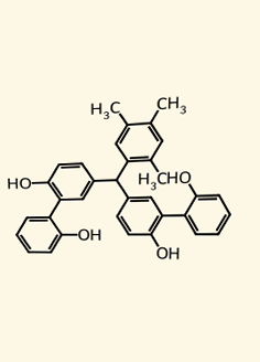 Cc1cc(C)c(C(c2ccc(O)c(-c3ccccc3O)c2)c2ccc(O)c(-c3ccccc3O)c2)cc1C